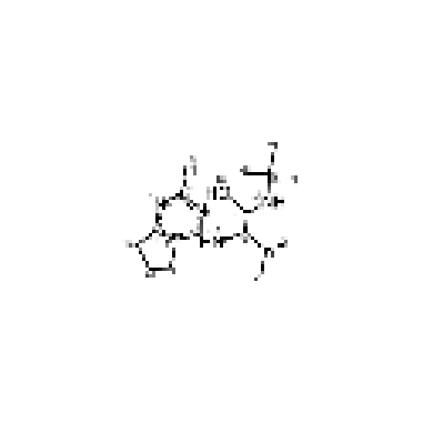 CC(C)[C@@H](Nc1nc(Cl)nc2c1CCC2)C(O)NC(C)(C)C